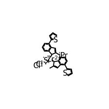 CC1=Cc2c(-c3cccs3)cccc2[CH]1[Zr+2]([CH]1C(C(C)C)=Cc2c(-c3cccs3)cccc21)=[Si](C)C.[Cl-].[Cl-]